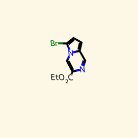 CCOC(=O)c1cn2c(Br)ccc2cn1